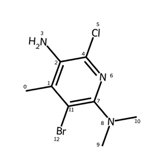 Cc1c(N)c(Cl)nc(N(C)C)c1Br